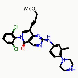 COCC#Cc1cn(-c2c(Cl)cccc2Cl)c(=O)c2cnc(Nc3ccc(N4CCNCC4)c(C)c3)nc12